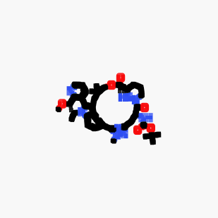 CCn1c(-c2cccnc2[C@H](C)OC)c2c3cc(ccc31)-c1nc(nn1C)C[C@H](NC(=O)OC(C)(C)C)C(=O)N1CCC[C@H](N1)C(=O)OCC(C)(C)C2